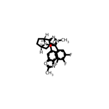 Cc1nc2ccc(C(=O)N3[C@H]4CC[C@@H]3c3nn(C)c(-c5cc(F)c(F)c(F)c5)c3C4)cc2o1